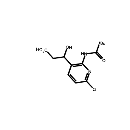 CC(C)(C)C(=O)Nc1nc(Cl)ccc1C(O)CC(=O)O